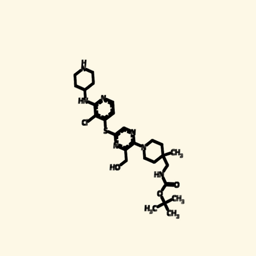 CC1(CNC(=O)OC(C)(C)C)CCN(c2ncc(Sc3ccnc(NC4CCNCC4)c3Cl)nc2CO)CC1